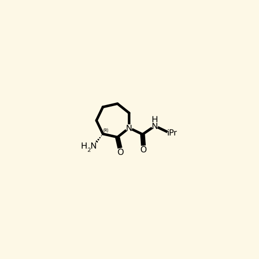 CC(C)NC(=O)N1CCCC[C@@H](N)C1=O